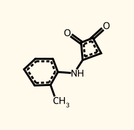 Cc1ccccc1Nc1cc(=O)c1=O